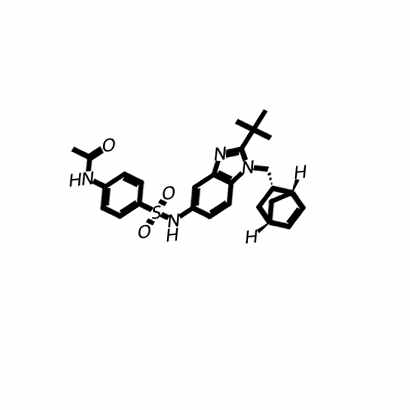 CC(=O)Nc1ccc(S(=O)(=O)Nc2ccc3c(c2)nc(C(C)(C)C)n3C[C@H]2C[C@H]3C=C[C@@H]2C3)cc1